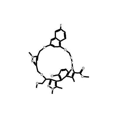 COCC1OCc2cc(n(C)n2)CCc2cc(c3ccc(F)cc3c2)OCCCn2c(C(=O)OC)c(C)c3c(c(Cl)ccc32)-c2c1nn(C)c2C